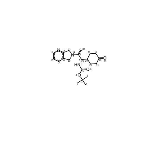 CC(C)(C)OC(=O)N[C@H](C(=O)N1Cc2ccccc2C1)C1CCC(=O)CC1